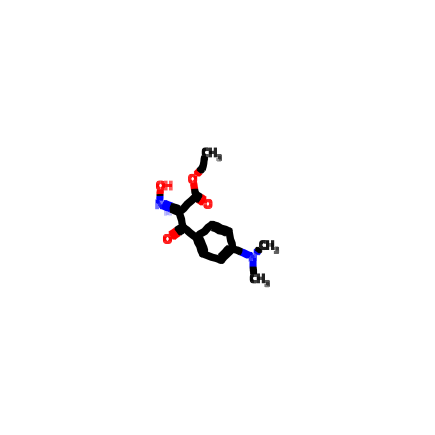 CCOC(=O)/C(=N\O)C(=O)c1ccc(N(C)C)cc1